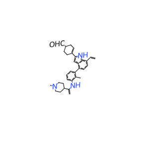 C=Cc1ccc(-c2cccc(NC(=C)C3CCN(C)CC3)c2C)c2cc(C3=CCC(C=O)CC3)[nH]c12